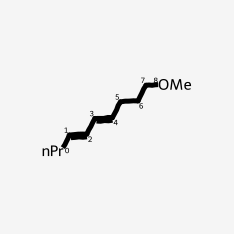 CCCC=CC=CCCCOC